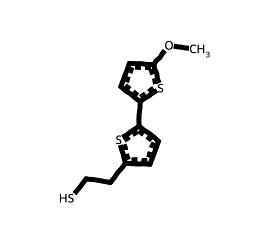 COc1ccc(-c2ccc(CCS)s2)s1